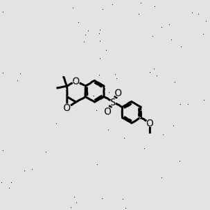 COc1ccc(S(=O)(=O)c2ccc3c(c2)C2OC2C(C)(C)O3)cc1